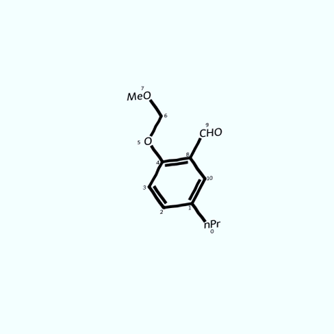 CCCc1ccc(OCOC)c(C=O)c1